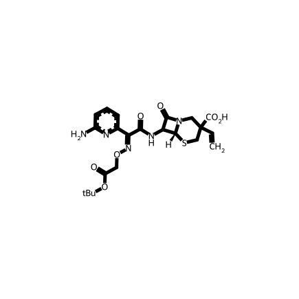 C=CC1(C(=O)O)CS[C@@H]2C(NC(=O)C(=NOCC(=O)OC(C)(C)C)c3cccc(N)n3)C(=O)N2C1